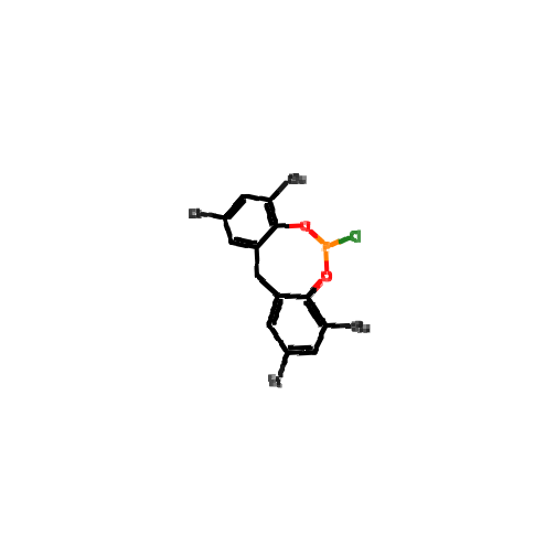 CCc1cc2c(c(C(C)(C)C)c1)OP(Cl)Oc1c(cc(CC)cc1C(C)(C)C)C2